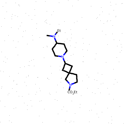 CCOC(=O)N1CCC2(CC(N3CCC(N(C)CC)CC3)C2)C1